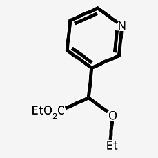 CCOC(=O)C(OCC)c1cccnc1